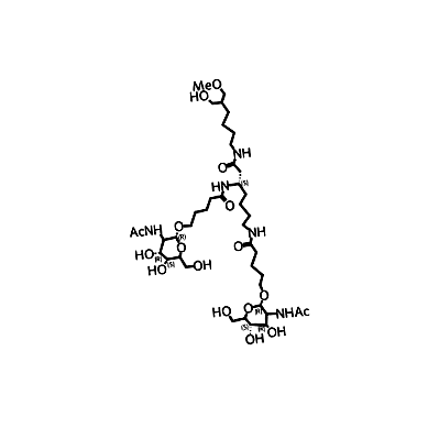 COCC(CO)CCCCNC(=O)C[C@H](CCCCNC(=O)CCCCO[C@@H]1OC(CO)[C@@H](O)[C@H](O)C1NC(C)=O)NC(=O)CCCCO[C@@H]1OC(CO)[C@@H](O)[C@H](O)C1NC(C)=O